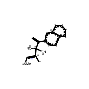 C=C(c1ccc2ccccc2c1)C(C#N)(C#N)/C(C)=C/SC